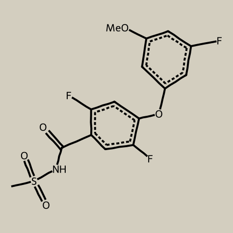 COc1cc(F)cc(Oc2cc(F)c(C(=O)NS(C)(=O)=O)cc2F)c1